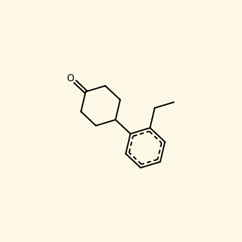 CCc1ccccc1C1CCC(=O)CC1